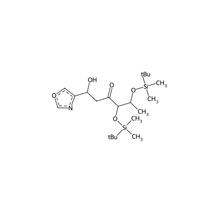 CC(O[Si](C)(C)C(C)(C)C)C(O[Si](C)(C)C(C)(C)C)C(=O)CC(O)c1cocn1